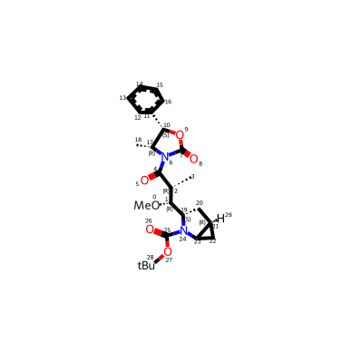 CO[C@H]([C@@H](C)C(=O)N1C(=O)O[C@@H](c2ccccc2)[C@H]1C)[C@@H]1C[C@H]2CC2N1C(=O)OC(C)(C)C